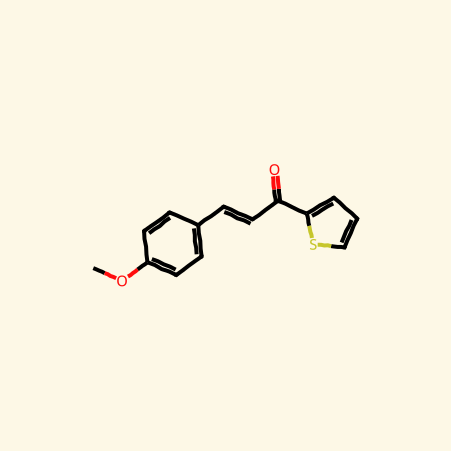 COc1ccc(C=CC(=O)c2cccs2)cc1